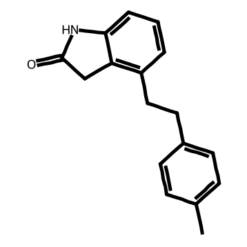 Cc1ccc(CCc2cccc3c2CC(=O)N3)cc1